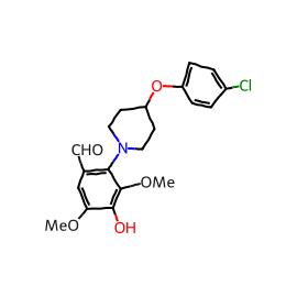 COc1cc(C=O)c(N2CCC(Oc3ccc(Cl)cc3)CC2)c(OC)c1O